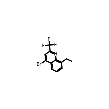 CCc1cccc2c(Br)cc(C(F)(F)F)nc12